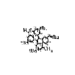 CC1CN(C(C)(C)C)CC(CCC2CN(C(C)(C)C)CC(C)N2C2CCN(C(C)(C)C)CC2)N1C1CCN(CC(C)(C)C)CC1